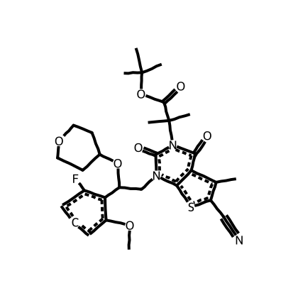 COc1cccc(F)c1C(Cn1c(=O)n(C(C)(C)C(=O)OC(C)(C)C)c(=O)c2c(C)c(C#N)sc21)OC1CCOCC1